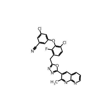 Cc1nc2ncccc2cc1-c1nnc(Cc2ccc(Cl)c(Oc3cc(Cl)cc(C#N)c3)c2F)o1